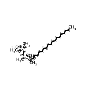 CCCCCCCCCCCCCCCCCC[Si](C)(C)O[Si](C)(C)CC[Si](OC)(OC)OC